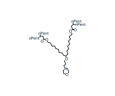 CCCCCC(CCCCC)CC(=O)OCCCCCCCCCC(CCCCCCCCCOC(=O)CC(CCCCC)CCCCC)OCCCN1CCOCC1